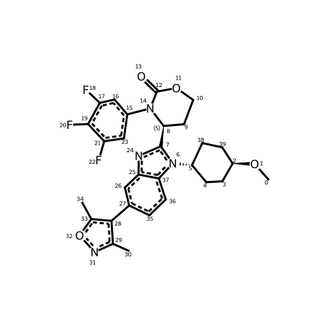 CO[C@H]1CC[C@H](n2c([C@@H]3CCOC(=O)N3c3cc(F)c(F)c(F)c3)nc3cc(-c4c(C)noc4C)ccc32)CC1